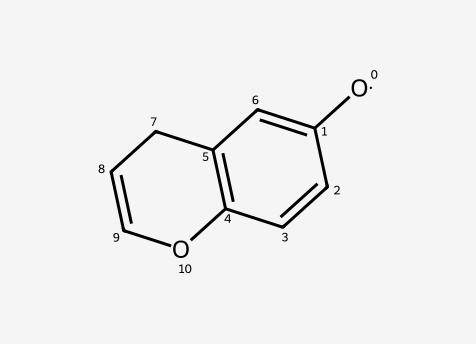 [O]c1ccc2c(c1)CC=CO2